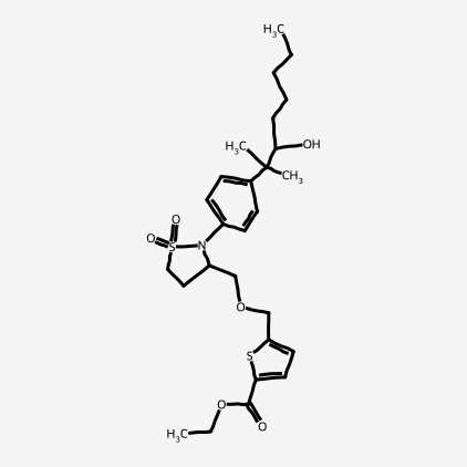 CCCCCC(O)C(C)(C)c1ccc(N2C(COCc3ccc(C(=O)OCC)s3)CCS2(=O)=O)cc1